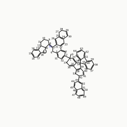 CC1(c2ccc(C/C(=C3/CCCC4c5ccccc5OC34)c3ccc4c(c3)CCC=C4)cc2)C=C2C(=CC1)C1=C(C=CC(c3ccc4ccccc4c3)C1)C21c2ccccc2-c2ccccc21